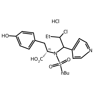 CCCCS(=O)(=O)N(C(c1ccncc1)C(Cl)CC)[C@@H](Cc1ccc(O)cc1)C(=O)O.Cl